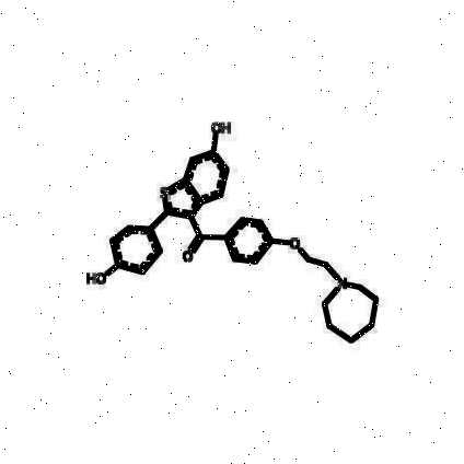 O=C(c1ccc(OCCN2CCCCCC2)cc1)c1c(-c2ccc(O)cc2)sc2cc(O)ccc12